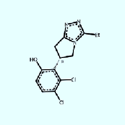 CCc1nnc2n1C[C@H](c1c(O)ccc(Cl)c1Cl)C2